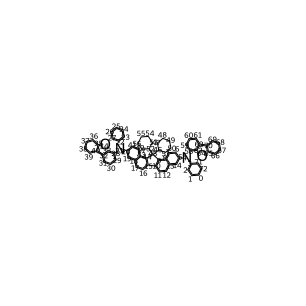 c1ccc(N(c2ccc3c4c(ccc3c2)-c2ccc3cc(N(c5ccccc5)c5cccc6c5oc5ccccc56)ccc3c2C4(C2CCCCC2)C2CCCCC2)c2cccc3c2oc2ccccc23)cc1